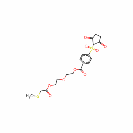 CSCC(=O)OCCOCCOC(=O)c1ccc(S(=O)(=O)C2C(=O)CCC2=O)cc1